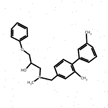 Cc1cccc(-c2ccc(CN(C)CC(O)COc3ccccc3)cc2C)c1